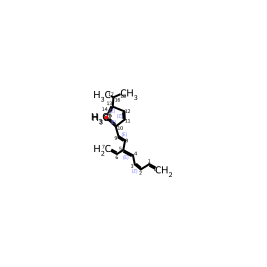 C=C\C=C/C=C(C=C)/C=C/C(/C=C\C(=C/C)C(C)C)=C/C